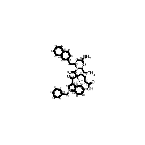 CCCN(C(=O)[C@](N)(CCCC(=O)O)C(=O)c1cn(Cc2ccccc2)c2ccccc12)[C@H](CC(N)=O)Cc1ccc2ccccc2c1